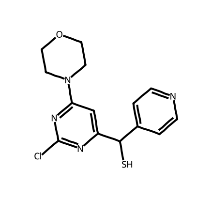 SC(c1ccncc1)c1cc(N2CCOCC2)nc(Cl)n1